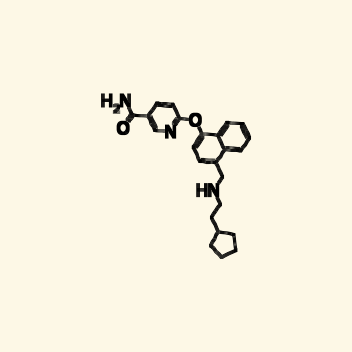 NC(=O)c1ccc(Oc2ccc(CNCCC3CCCC3)c3ccccc23)nc1